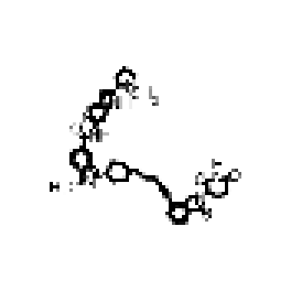 Cc1nn(C2CCC(CCCC#Cc3cccc4c3CN(C3CCC(=O)NC3=O)C4=O)CC2)c2cc(C(=O)Nc3cc4[nH]c([C@H]5CCCN5C)cc4cn3)ccc12